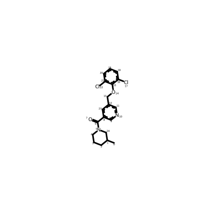 CC1CCCN(C(=O)c2cncc(COc3c(Cl)cccc3Cl)c2)C1